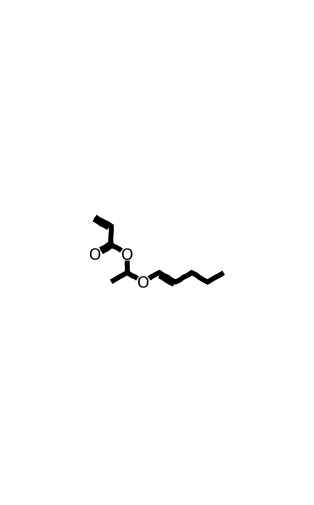 C=CC(=O)OC(C)O/C=C/CCC